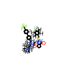 [2H]c1c([2H])c(CSc2nc(=O)c3c(n2CC(=O)N(C([2H])([2H])c2ccc(-c4ccc(C(F)(F)F)cc4)cc2)C([2H])([2H])C([2H])([2H])N(C([2H])([2H])C)C([2H])([2H])C)CCC3)c([2H])c([2H])c1F